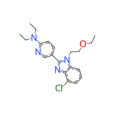 CCOCCn1c(-c2ccc(N(CC)CC)nc2)nc2c(Cl)cccc21